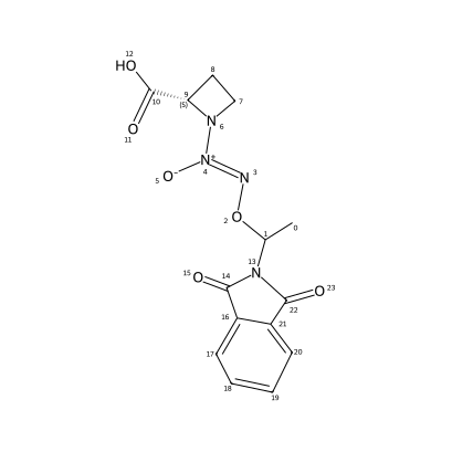 CC(ON=[N+]([O-])N1CC[C@H]1C(=O)O)N1C(=O)c2ccccc2C1=O